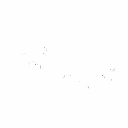 CCOC(=O)c1cnn(-c2cccc(-c3cccc4c3[C@@H](Cc3ccc(C5CCN(C(=O)O)CC5)c(CC)c3)CC4)c2)c1NC